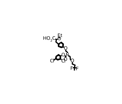 CCOC(Cc1ccc(OCCN(CCOCCC(C)(F)F)C(=O)Oc2ccc(Cl)cc2Cl)cc1)C(=O)O